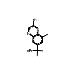 CCCC(C)(C)c1cc(C)c2nc(C(C)(C)C)cnc2c1